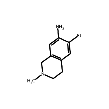 CCc1cc2c(cc1N)CN(C)CC2